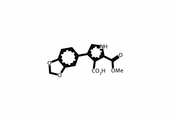 COC(=O)c1[nH]cc(-c2ccc3c(c2)OCO3)c1C(=O)O